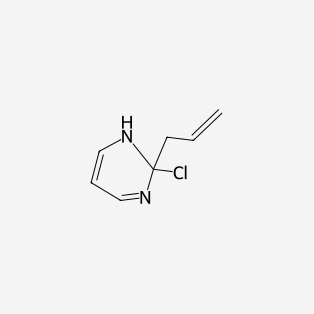 C=CCC1(Cl)N=CC=CN1